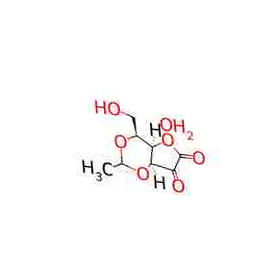 CC1O[C@@H](CO)[C@H]2OC(=O)C(=O)[C@H]2O1.O